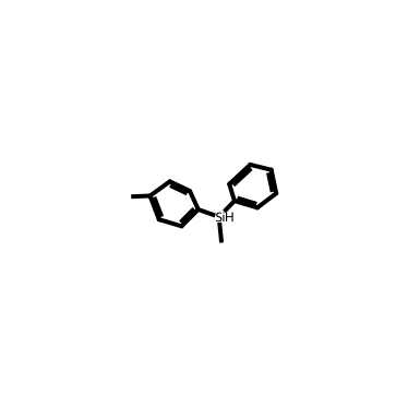 Cc1ccc([SiH](C)c2ccccc2)cc1